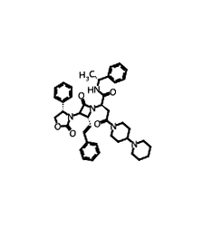 C[C@@H](NC(=O)[C@@H](CC(=O)N1CCC(N2CCCCC2)CC1)N1C(=O)C(N2C(=O)OC[C@@H]2c2ccccc2)[C@H]1/C=C/c1ccccc1)c1ccccc1